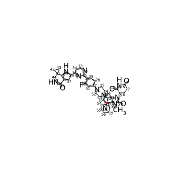 Cn1c(=O)n(C2CCC(=O)NC2=O)c2cccc(N3C4CC(CN5CCN(c6ccc(-c7nccc(-c8cc9c([nH]8)C8(CC8)CNC9=O)n7)c(F)c6)CC5)CC3C4)c21